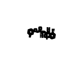 Cc1cccc(OCC(=O)NCC(=O)Nc2c(F)cccc2F)c1